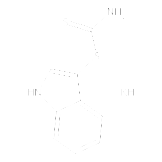 NC(=S)Sc1c[nH]c2ccccc12.[KH]